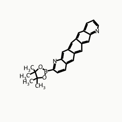 CC1(C)OB(c2ccc3cc4cc5cc6ncccc6cc5cc4cc3n2)OC1(C)C